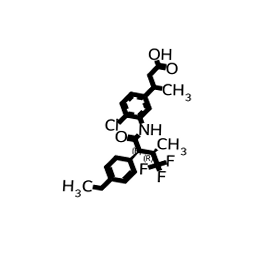 CCC1=CCC([C@@H](C(=O)Nc2cc(C(C)CC(=O)O)ccc2Cl)[C@@H](C)C(F)(F)F)C=C1